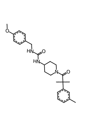 COc1ccc(CNC(=O)NC2CCN(C(=O)C(C)(C)c3cccc(C)c3)CC2)cc1